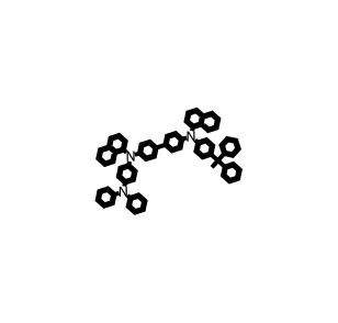 CC(c1ccccc1)(c1ccccc1)c1ccc(N(c2ccc(-c3ccc(N(c4ccc(N(c5ccccc5)c5ccccc5)cc4)c4cccc5ccccc45)cc3)cc2)c2cccc3ccccc23)cc1